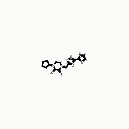 O=C1C(=O)N(C2CCCC2)CCN1Cc1nnc(-c2nccs2)s1